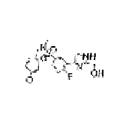 COc1ccc(CN(C)S(=O)(=O)c2ccc(F)c(-c3c[nH]c(CO)n3)c2)cc1